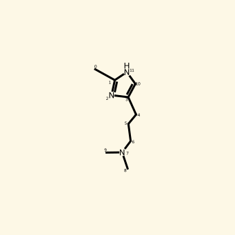 Cc1nc(CCCN(C)C)c[nH]1